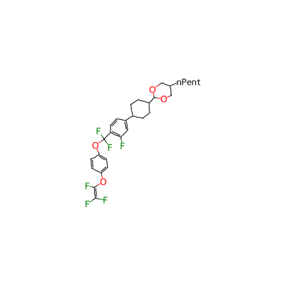 CCCCCC1COC(C2CCC(c3ccc(C(F)(F)Oc4ccc(OC(F)=C(F)F)cc4)c(F)c3)CC2)OC1